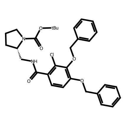 CC(C)(C)OC(=O)N1CCC[C@H]1CNC(=O)c1ccc(OCc2ccccc2)c(OCc2ccccc2)c1Cl